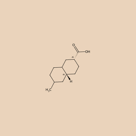 CC1CCC2C[C@H](C(=O)O)CC[C@@H]2C1